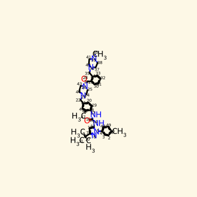 Cc1ccc(-n2nc(C(C)(C)C)cc2NC(=O)Nc2ccc(CN3CCN(C(=O)c4ccccc4CN4CCN(C)CC4)CC3)cc2C)cc1